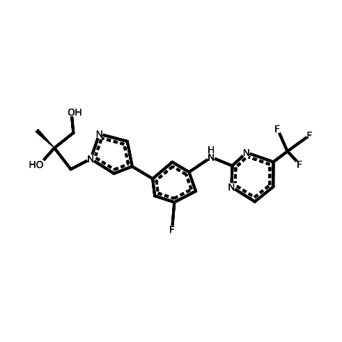 C[C@@](O)(CO)Cn1cc(-c2cc(F)cc(Nc3nccc(C(F)(F)F)n3)c2)cn1